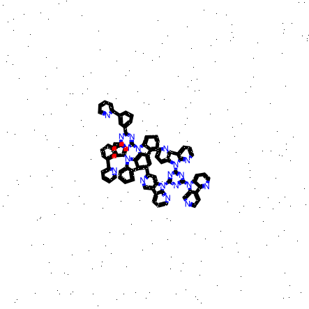 c1ccc(-n2c3ccccc3c3c(-c4cc5c(cn4)c4cccnc4n5-c4nc(-n5c6cnccc6c6ncccc65)nc(-n5c6cccnc6c6cccnc65)n4)cc4c5ccccc5n(-c5nc(-c6cccc(-c7ccccn7)c6)nc(-c6cccc(-c7ccccn7)c6)n5)c4c32)cc1